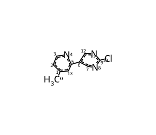 Cc1ccnc(-c2cnc(Cl)nc2)c1